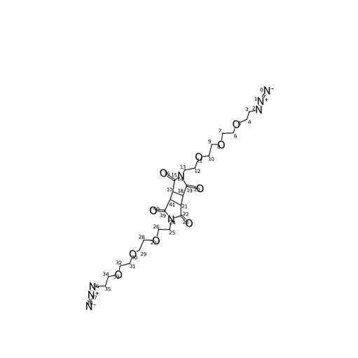 [N-]=[N+]=NCCOCCOCCOCCN1C(=O)C2C(C1=O)C1C(=O)N(CCOCCOCCOCCN=[N+]=[N-])C(=O)C21